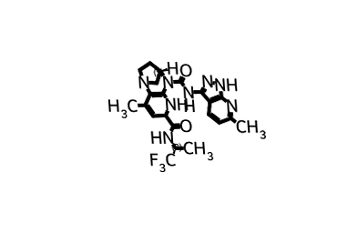 CC1=CC(C(=O)N[C@H](C)C(F)(F)F)NC2=C1N1CC[C@@H](C1)N2C(=O)Nc1n[nH]c2nc(C)ccc12